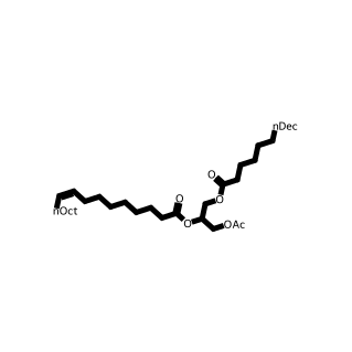 CCCCCCCC/C=C\CCCCCCCC(=O)OC(COC(C)=O)COC(=O)CCCCCCCCCCCCCCC